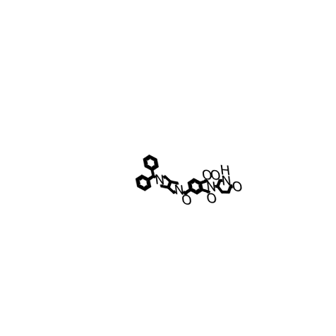 O=C1CCC(N2C(=O)c3ccc(C(=O)N4CC5CN(C(c6ccccc6)c6ccccc6)CC5C4)cc3C2=O)C(=O)N1